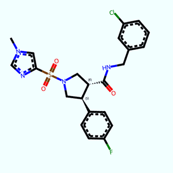 Cn1cnc(S(=O)(=O)N2C[C@H](C(=O)NCc3cccc(Cl)c3)[C@@H](c3ccc(F)cc3)C2)c1